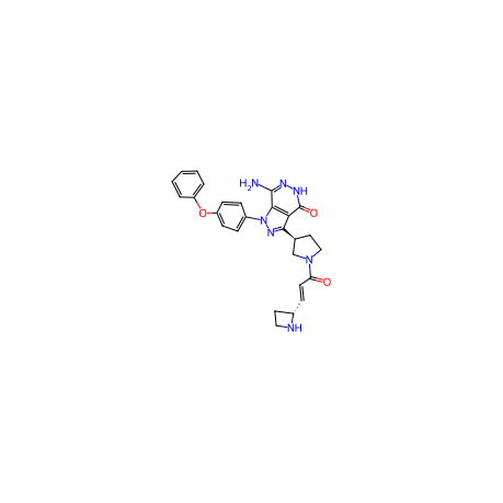 Nc1n[nH]c(=O)c2c([C@H]3CCN(C(=O)/C=C/[C@H]4CCN4)C3)nn(-c3ccc(Oc4ccccc4)cc3)c12